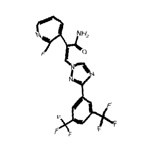 NC(=O)C(=Cn1cnc(-c2cc(C(F)(F)F)cc(C(F)(F)F)c2)n1)c1cccnc1F